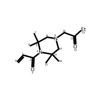 C=CC(=O)N1C(C)(C)CN(CC(=O)CC)CC1(C)C